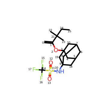 C=C(OC12CC3CC(CC(NS(=O)(=O)C(F)(F)F)(C3)C1)C2)C(C)(C)CC